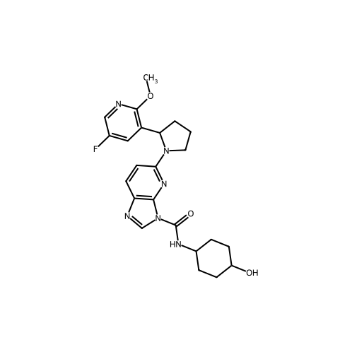 COc1ncc(F)cc1C1CCCN1c1ccc2ncn(C(=O)NC3CCC(O)CC3)c2n1